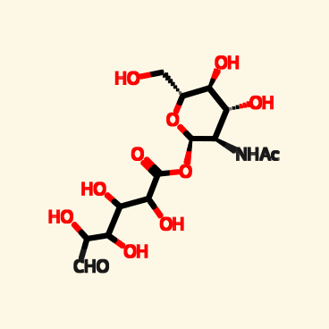 CC(=O)N[C@H]1[C@@H](OC(=O)C(O)C(O)C(O)C(O)C=O)O[C@H](CO)[C@@H](O)[C@@H]1O